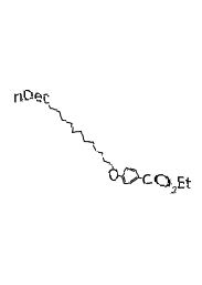 CCCCCCCCCCCCCCCCCCCCCCOc1ccc(C(=O)OCC)cc1